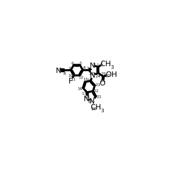 Cc1nc(-c2ccc(C#N)c(F)c2)n(-c2ccc3nn(C)cc3c2)c1C(=O)O